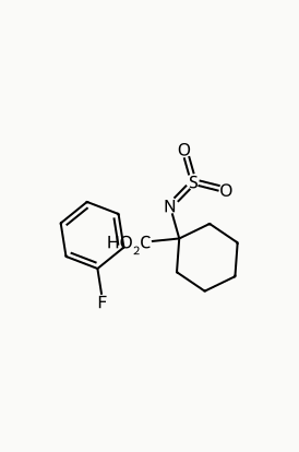 Fc1ccccc1.O=C(O)C1(N=S(=O)=O)CCCCC1